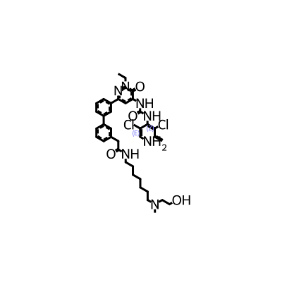 C=C/C(Cl)=C(NC(=O)Nc1cc(-c2cccc(-c3cccc(CC(=O)NCCCCCCCN(C)CCO)c3)c2)nn(CC)c1=O)\C(Cl)=C/N